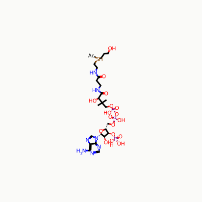 CC(=O)[SH](CCCO)CCNC(=O)CCNC(=O)C(O)C(C)(C)COP(=O)(O)OP(=O)(O)OC[C@H]1O[C@@H](n2cnc3c(N)ncnc32)[C@H](O)[C@@H]1OP(=O)(O)O